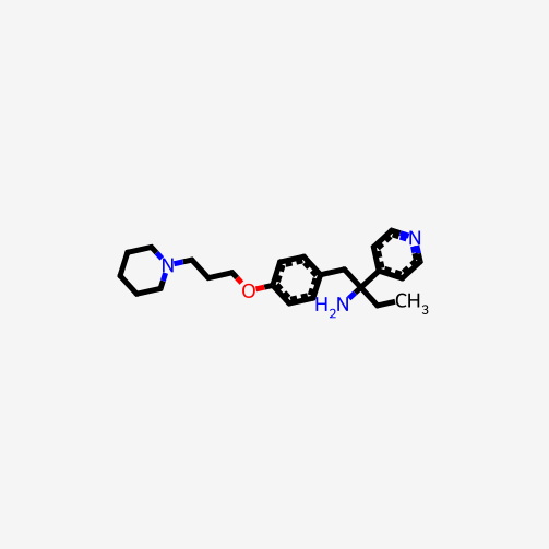 CCC(N)(Cc1ccc(OCCCN2CCCCC2)cc1)c1ccncc1